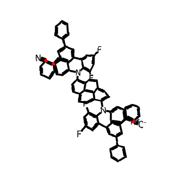 [C-]#[N+]c1ccc(N(c2c(F)cc(F)cc2-c2cc(-c3ccccc3)cc(-c3ccccc3)c2)c2ccc3ccc4c(N(c5ccc(C#N)cc5)c5c(F)cc(F)cc5-c5cc(-c6ccccc6)cc(-c6ccccc6)c5)ccc5ccc2c3c54)cc1